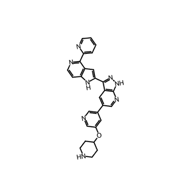 c1ccc(-c2nccc3[nH]c(-c4n[nH]c5ncc(-c6cncc(OC7CCNCC7)c6)cc45)cc23)nc1